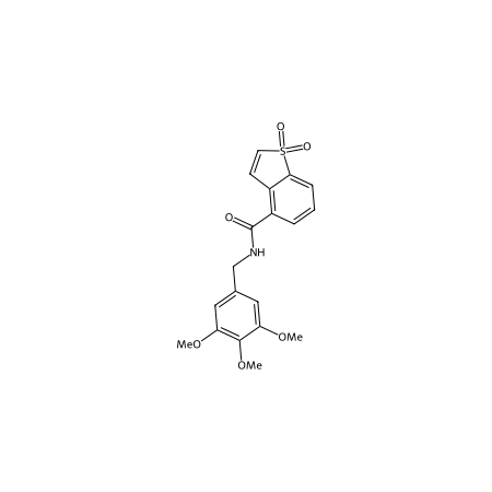 COc1cc(CNC(=O)c2cccc3c2C=CS3(=O)=O)cc(OC)c1OC